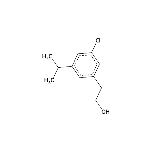 CC(C)c1cc(Cl)cc(CCO)c1